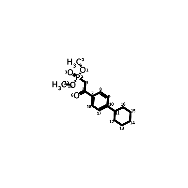 COP(=O)(CC(=O)c1ccc(C2CCCCC2)cc1)OC